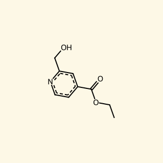 CCOC(=O)c1ccnc(CO)c1